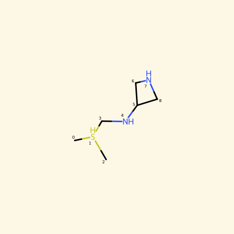 C[SH](C)CNC1CNC1